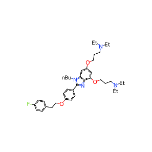 CCCCn1c(-c2ccc(OCCc3ccc(F)cc3)cc2)nc2c(OCCCN(CC)CC)cc(OCCCN(CC)CC)cc21